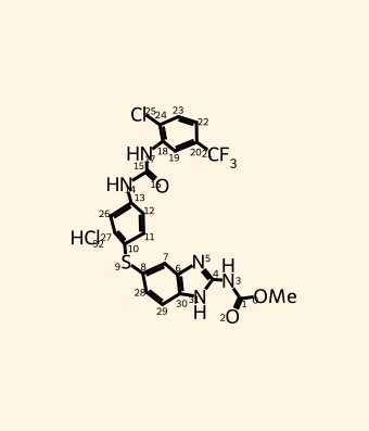 COC(=O)Nc1nc2cc(Sc3ccc(NC(=O)Nc4cc(C(F)(F)F)ccc4Cl)cc3)ccc2[nH]1.Cl